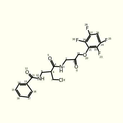 O=C(CNC(=O)C(CCl)CNC(=O)c1ccccc1)COc1c(F)c(F)cc(F)c1F